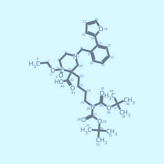 CCOP1(=O)CCN(Cc2ccccc2-c2ccco2)CC1(CCCCN(C(=O)OC(C)(C)C)C(=O)OC(C)(C)C)C(=O)O